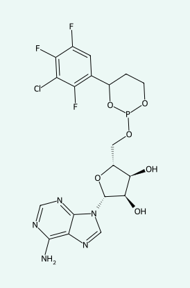 Nc1ncnc2c1ncn2[C@@H]1O[C@H](COP2OCCC(c3cc(F)c(F)c(Cl)c3F)O2)[C@@H](O)[C@H]1O